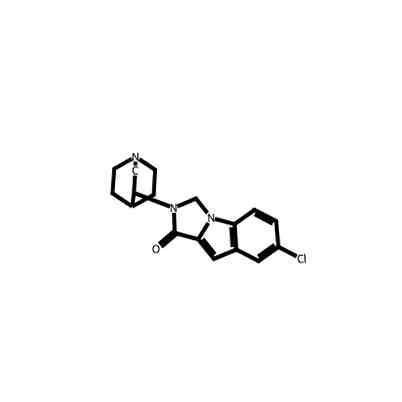 O=C1c2cc3cc(Cl)ccc3n2CN1C1CN2CCC1CC2